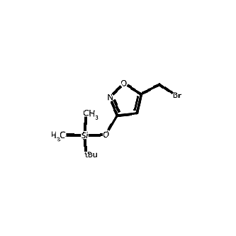 CC(C)(C)[Si](C)(C)Oc1cc(CBr)on1